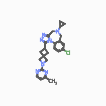 Cc1ccnc(N2CC3(CC(c4nnc5n4-c4ccc(Cl)cc4CN(C4CC4)C5)C3)C2)n1